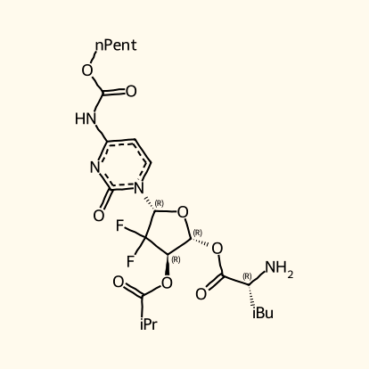 CCCCCOC(=O)Nc1ccn([C@@H]2O[C@H](OC(=O)[C@H](N)C(C)CC)[C@@H](OC(=O)C(C)C)C2(F)F)c(=O)n1